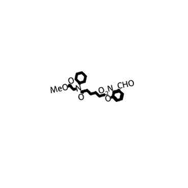 COC(=O)CN(C(=O)CCCCCOc1cccc(C=O)c1[N+](=O)[O-])C1CCCCC1